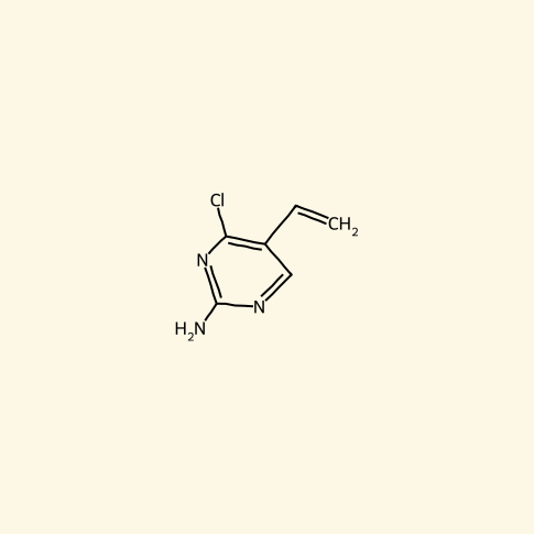 C=Cc1cnc(N)nc1Cl